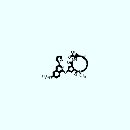 COc1ccc2c(OC3CC4C(=O)NC5(C(=O)O)CC5/C=C\CCCCN(C)C(=O)C4C3)nc(-n3cccn3)cc2c1